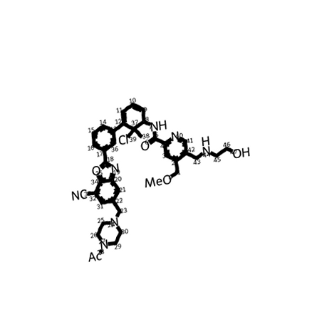 COCc1cc(C(=O)NC2C=CC=C(c3cccc(-c4nc5cc(CN6CCN(C(C)=O)CC6)cc(C#N)c5o4)c3)C2(C)Cl)ncc1CNCCO